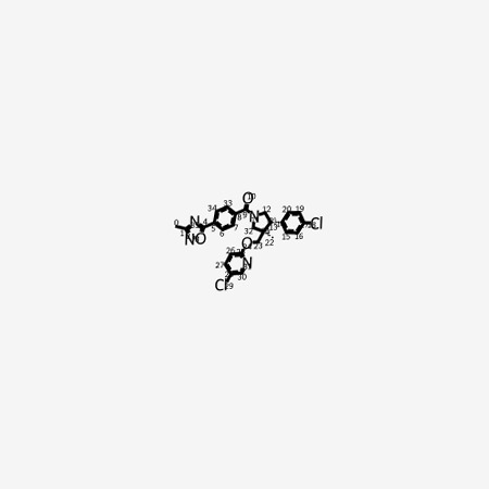 Cc1noc(-c2ccc(C(=O)N3C[C@H](c4ccc(Cl)cc4)[C@@](C)(COc4ccc(Cl)cn4)C3)cc2)n1